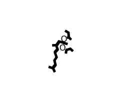 CCC(C)OC(C)(C=C(C)C=CCCC=C(C)C)OC(C)CC